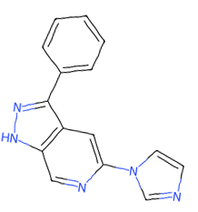 c1ccc(-c2n[nH]c3cnc(-n4ccnc4)cc23)cc1